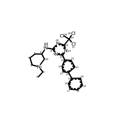 CCN1CCCC(Nc2nc(-c3ccc(-c4ccccc4)cc3)nc(C(Cl)(Cl)Cl)n2)C1